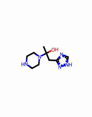 CC(O)(Cc1nc[nH]n1)N1CCNCC1